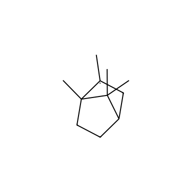 C[C]1CC2CCC1(C)C2(C)C